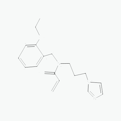 C=CC(=O)N(CCCn1ccnc1)Cc1ccccc1OCC